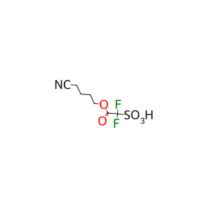 N#CCCCCOC(=O)C(F)(F)S(=O)(=O)O